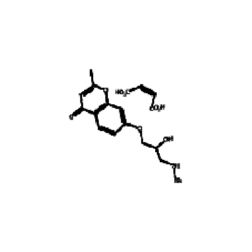 Cc1cc(=O)c2ccc(OCC(O)CNC(C)(C)C)cc2o1.O=C(O)/C=C\C(=O)O